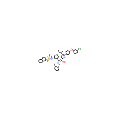 CCC(C)c1c(-c2ccc(C(=O)NS(=O)(=O)c3ccc4ccccc4c3)cc2C(=O)N2CCc3ccccc3C2)c(CO)nn1-c1ccc(Oc2cccc(Cl)c2)cc1